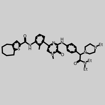 CCN1CCN(C(C(=O)N(CC)CC)c2ccc(Nc3nc(-c4cccc(NC(=O)c5cc6c(s5)CCCCC6)c4C)cn(C)c3=O)cc2)CC1